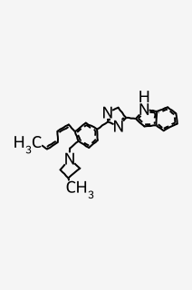 C/C=C\C=C/c1cc(C2=NCC(c3cc4ccccc4[nH]3)=N2)ccc1CN1CC(C)C1